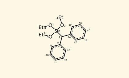 CCO[Si](OCC)(OCC)C(c1ccccc1)c1ccccc1